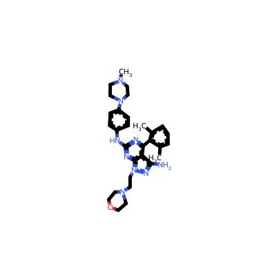 Cc1cccc(C)c1-c1nc(Nc2ccc(N3CCN(C)CC3)cc2)nc2c1c(N)nn2CCN1CCOCC1